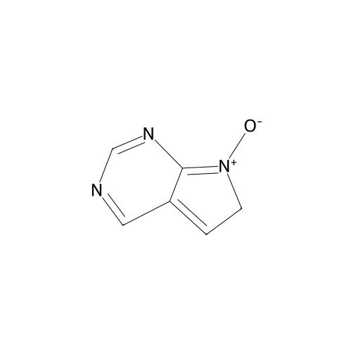 [O-][N+]1=c2ncncc2=CC1